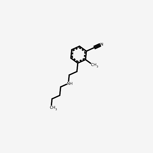 CCCCNCCc1cccc(C#N)c1C